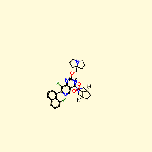 COC(=O)C1[C@@H]2CC[C@H]1CN(c1nc(OCC34CCCN3CCC4)nc3c(F)c(-c4cccc5cccc(F)c45)ncc13)C2